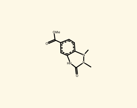 COC(=O)c1ccc2c(c1)NC(=O)N(C)N2C